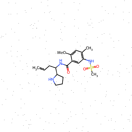 C=CCC(NC(=O)c1cc(NS(C)(=O)=O)c(C)cc1OC)C1CCCN1